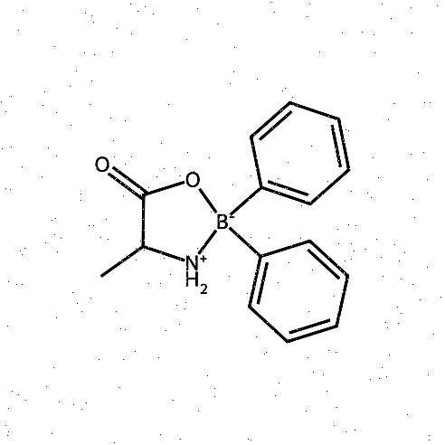 CC1[NH2+][B-](c2ccccc2)(c2ccccc2)OC1=O